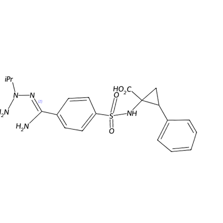 CC(C)N(N)/N=C(\N)c1ccc(S(=O)(=O)NC2(C(=O)O)CC2c2ccccc2)cc1